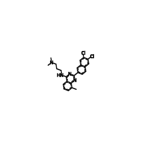 Cc1cccc2c(NCCCN(C)C)nc(-c3ccc4cc(Cl)c(Cl)cc4c3)nc12